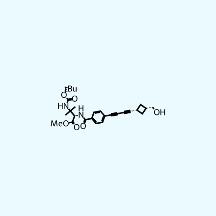 COC(=O)[C@@H](NC(=O)c1ccc(C#CC#C[C@H]2C[C@@H](CO)C2)cc1)C(C)(C)NC(=O)OC(C)(C)C